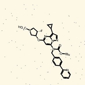 CC(C)(C)OC(=O)N(Cc1ccc(-c2ccccn2)cc1)c1cc(O[C@H]2CN(C(=O)O)C[C@@H]2F)nc2c(C3CC3)cnn12